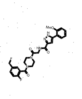 COc1ccccc1-c1cc(C(=O)NCC(=O)N2CCN(C(=O)c3cc(CF)ccc3F)CC2)n[nH]1